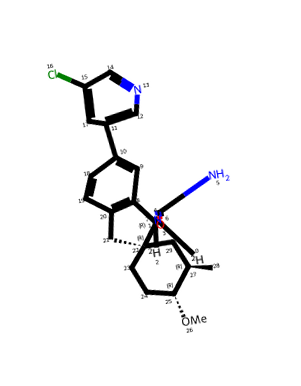 [2H]C1([2H])OC(N)=N[C@]12c1cc(-c3cncc(Cl)c3)ccc1C[C@]21CC[C@@H](OC)[C@H](C)C1